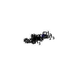 C=C(/C(C)=C\C(C)(C)COC)N1CCC[C@@H](NC(=O)c2sc3nccc4c3c2NC(=O)N4c2ccc(Cc3ccccc3)cc2C)C1